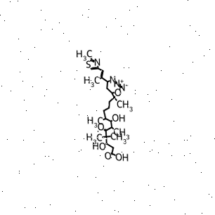 C/C(=C\c1csc(C)n1)C(CC1OC1(C)CCCC(C)C(O)C(C)C(=O)C(C)(C)C(O)CC(=O)O)N=[N+]=[N-]